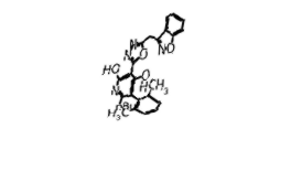 CCCCc1nc(O)c(-c2nnc(Cc3noc4ccccc34)o2)c(O)c1-c1c(C)cccc1C